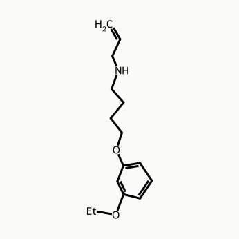 C=CCNCCCCOc1cccc(OCC)c1